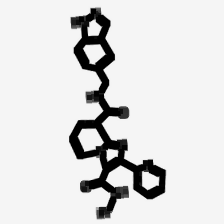 CC(C)NC(=O)c1c(-c2ccccn2)nc2c(C(=O)NCc3ccc4[nH]ncc4c3)cccn12